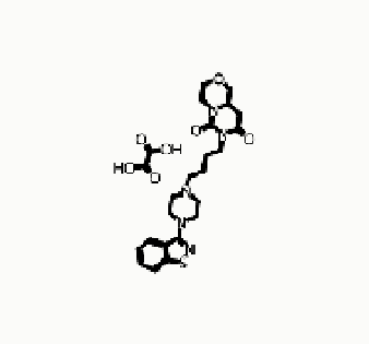 O=C(O)C(=O)O.O=C1CC2COCCN2C(=O)N1CCCCN1CCN(c2nsc3ccccc23)CC1